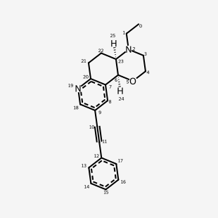 CCN1CCO[C@H]2c3cc(C#Cc4ccccc4)cnc3CC[C@H]21